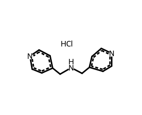 Cl.c1cc(CNCc2ccncc2)ccn1